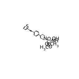 CC(CCN1CC=C(c2ccc(C#Cc3cccs3)cc2)CC1)(C(=O)NO)S(C)(=O)=O